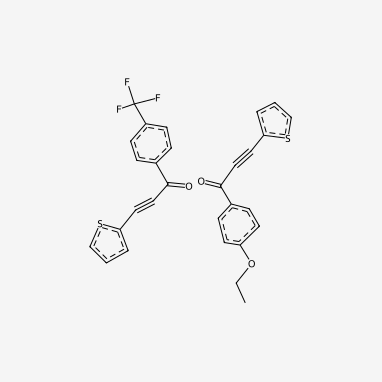 CCOc1ccc(C(=O)C#Cc2cccs2)cc1.O=C(C#Cc1cccs1)c1ccc(C(F)(F)F)cc1